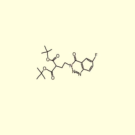 CC(C)(C)OC(=O)C(CCn1nnc2ccc(F)cc2c1=O)C(=O)OC(C)(C)C